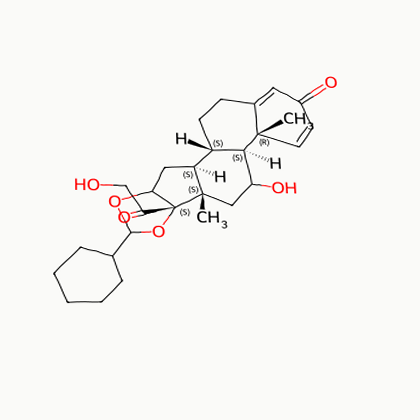 C[C@]12C=CC(=O)C=C1CC[C@@H]1[C@@H]2C(O)C[C@@]2(C)[C@H]1CC1OC(C3CCCCC3)O[C@]12C(=O)CO